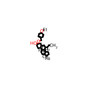 C=CCC1C=C2CC(O)(OCc3ccc(OCC)cc3)CC[C@]2(C)[C@H]2CC[C@]3(C)[C@@H](C(C)=O)CC[C@H]3[C@H]12